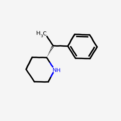 CC(c1ccccc1)[C@H]1CCCCN1